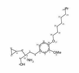 COc1cc(CC[C@@](N)(CO)CC2CC2)ccc1OCCCCCCC(C)C